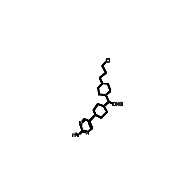 CCCc1ncc(C2CCC(C(C=O)C3CCC(CCCCl)CC3)CC2)cn1